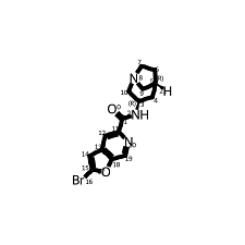 O=C(N[C@@H]1C[C@H]2CCN(C2)C1)c1cc2cc(Br)oc2cn1